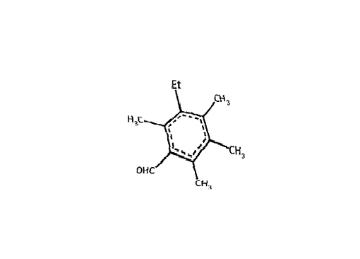 CCc1c(C)c(C)c(C)c(C=O)c1C